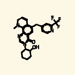 CN1CC=Cc2c(Cc3ccnc(C(F)(F)F)c3)cc3c(=O)n(C4CCCCC4O)cnc3c21